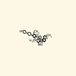 CCc1cc(Nc2ncc(Br)c(Nc3ccc4nc(C)ccc4c3[P]3(O)CCCC3)n2)c(OC)cc1N1CCC(N2CCNCC2)CC1